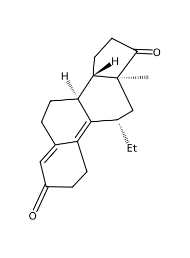 CC[C@H]1C[C@]2(C)C(=O)CC[C@H]2[C@@H]2CCC3=CC(=O)CCC3=C12